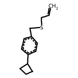 C=CCSCc1ccc(C2CCC2)cc1